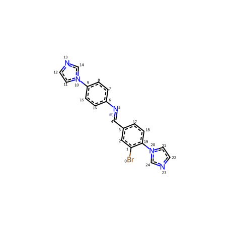 Brc1cc(/C=N/c2ccc(-n3ccnc3)cc2)ccc1-n1ccnc1